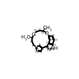 C[C@@H]1CCn2cc(cn2)-c2n[nH]c3ccc(cc23)O[C@H](C)CCO1